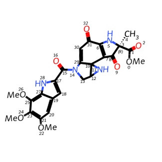 COC(=O)[C@]1(C)NC2=C(C1=O)C13NC1CN(C(=O)c1cc4cc(OC)c(OC)c(OC)c4[nH]1)C3=CC2=O